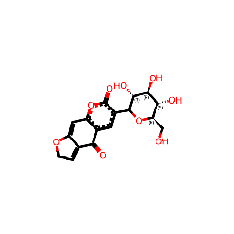 O=C1C2=CCOC2=Cc2oc(=O)c(C3O[C@H](CO)[C@@H](O)[C@H](O)[C@H]3O)cc21